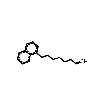 [CH]=CCCCCCCc1cccc2ccccc12